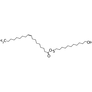 CCCCCCCC/C=C\CCCCCCCC(=O)OSCCCCCCCCCCCO